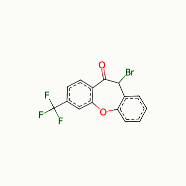 O=C1c2ccc(C(F)(F)F)cc2Oc2ccccc2C1Br